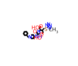 Cn1nnnc1SCC1=C(C(=O)O)N2C(=O)[C@H](Nc3cc[n+](Cc4ccccc4)cc3)C2OC1.[OH-]